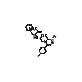 CC(C)[C@@H]1SC=C(c2ccc(F)cc2)N(CC(=O)N[C@@H](Cc2ccccc2)C(=O)C(=O)O)C1=O